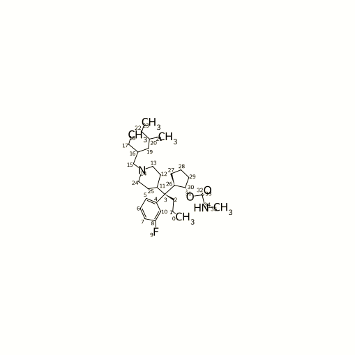 CCC[C@@](c1cccc(F)c1)(C1CCN(CC(CC)CC(C)CC)CC1)[C@H]1CCC[C@@H]1OC(=O)NC